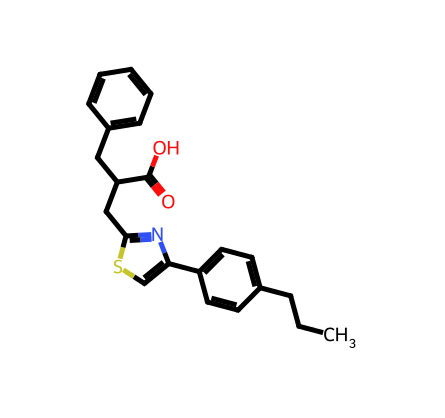 CCCc1ccc(-c2csc(CC(Cc3ccccc3)C(=O)O)n2)cc1